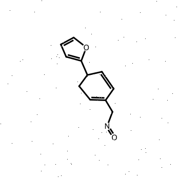 O=NCC1=CCC(c2ccco2)C=C1